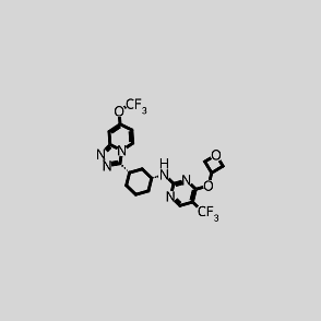 FC(F)(F)Oc1ccn2c([C@H]3CCC[C@@H](Nc4ncc(C(F)(F)F)c(OC5COC5)n4)C3)nnc2c1